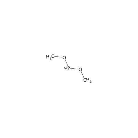 COPOC